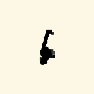 CC(C(=O)NC(C(=O)N1Cc2cc(OCCOCCOCCOCCOCCOCCN)ccc2C[C@H]1C(=O)N[C@@H]1CCCc2ccccc21)C(C)(C)C)N(C)C(=O)OCc1ccccc1